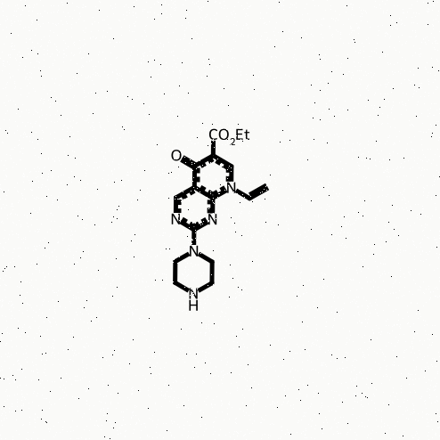 C=Cn1cc(C(=O)OCC)c(=O)c2cnc(N3CCNCC3)nc21